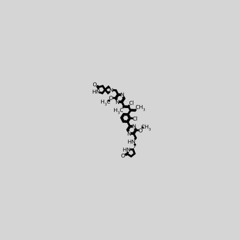 C/C=C(\C(Cl)=C(/C)c1cnc(CN2CC3(CNC(=O)C3)C2)c(OC)n1)c1cccc(-c2cnc(CNC[C@@H]3CCC(=O)N3)c(OC)n2)c1Cl